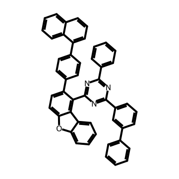 c1ccc(-c2cccc(-c3nc(-c4ccccc4)nc(-c4c(-c5ccc(-c6cccc7ccccc67)cc5)ccc5oc6ccccc6c45)n3)c2)cc1